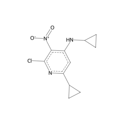 O=[N+]([O-])c1c(NC2CC2)cc(C2CC2)nc1Cl